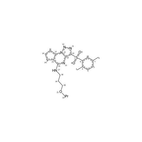 Cc1ccc(C)c(S(=O)(=O)c2nnn3c2nc(NCCCOC(C)C)c2sccc23)c1